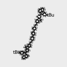 CC(C)(C)c1ccc(N(c2ccc3c(c2)C(C)(C)c2cc(/C=C/c4ccc(-c5ccc(-c6ccc(/C=C/c7ccc8c(c7)C(C)(C)c7cc(N(c9ccc(C(C)(C)C)cc9)c9cccc%10ccccc9%10)ccc7-8)cc6)cc5)cc4)ccc2-3)c2cccc3ccccc23)cc1